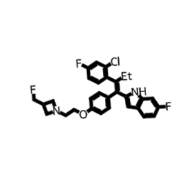 CC/C(=C(/c1ccc(OCCN2CC(CF)C2)cc1)c1cc2ccc(F)cc2[nH]1)c1ccc(F)cc1Cl